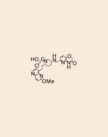 COc1ccc2ncc(Cl)c(CC[C@@H]3CC[C@@H](NCc4ccc5c(n4)NC(=O)CO5)CN3C(=O)O)c2n1